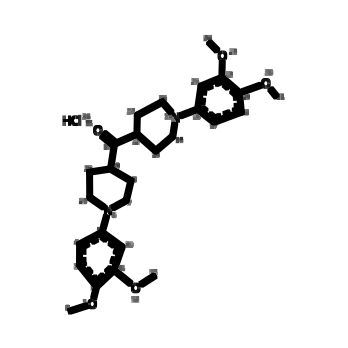 COc1ccc(N2CCC(C(=O)C3CCN(c4ccc(OC)c(OC)c4)CC3)CC2)cc1OC.Cl